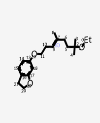 CCOC(C)(C)CC/C(C)=C/CCOc1ccc2c(c1)OCC2